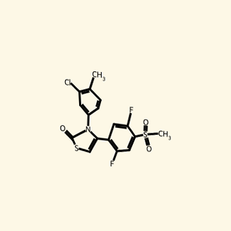 Cc1ccc(-n2c(-c3cc(F)c(S(C)(=O)=O)cc3F)csc2=O)cc1Cl